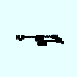 CCCCCCCCCCCCN(CCCCCCCCCCCC)C(=O)CC[C@H](NC(=O)CCCCCCCCCCC)C(=O)O